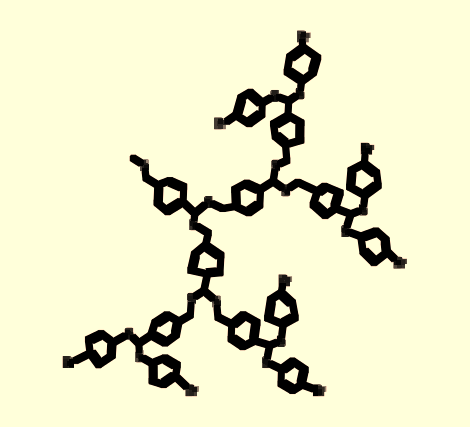 CSCc1ccc(C(SCc2ccc(C(SCc3ccc(C(Sc4ccc(Br)cc4)Sc4ccc(Br)cc4)cc3)SCc3ccc(C(Sc4ccc(Br)cc4)Sc4ccc(Br)cc4)cc3)cc2)SCc2ccc(C(SCc3ccc(C(Sc4ccc(Br)cc4)Sc4ccc(Br)cc4)cc3)SCc3ccc(C(Sc4ccc(Br)cc4)Sc4ccc(Br)cc4)cc3)cc2)cc1